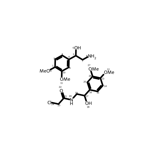 COc1ccc(C(O)CN)cc1OC.COc1ccc(C(O)CNC(=O)CCl)cc1OC